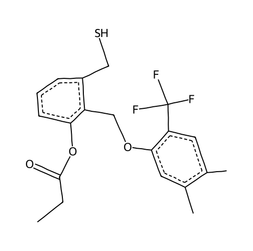 CCC(=O)Oc1cccc(CS)c1COc1cc(C)c(C)cc1C(F)(F)F